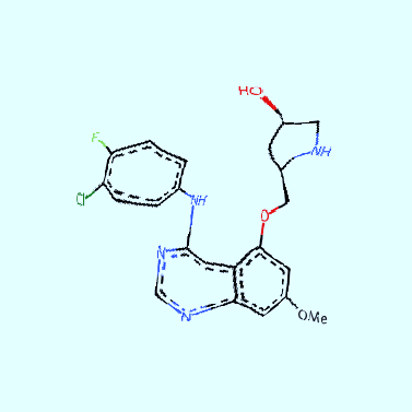 COc1cc(OC[C@H]2C[C@@H](O)CN2)c2c(Nc3ccc(F)c(Cl)c3)ncnc2c1